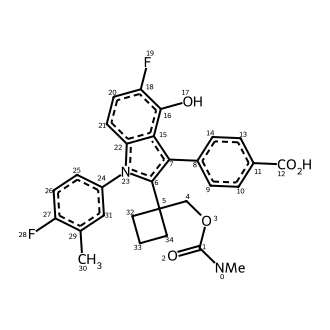 CNC(=O)OCC1(c2c(-c3ccc(C(=O)O)cc3)c3c(O)c(F)ccc3n2-c2ccc(F)c(C)c2)CCC1